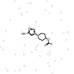 CC(=O)OC1CCN([n+]2cc([NH-])on2)CC1